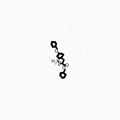 CN(N)C(Cc1ccc(OCc2ccccc2)cc1)C(=O)OCc1ccccc1